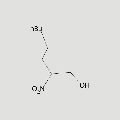 CCCCCCC(CO)[N+](=O)[O-]